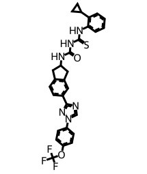 O=C(NC(=S)Nc1ccccc1C1CC1)NC1Cc2ccc(-c3ncn(-c4ccc(OC(F)(F)F)cc4)n3)cc2C1